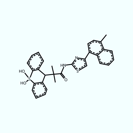 Cc1ccc(-c2csc(NC(=O)C(C)(C)C3c4ccccc4S(O)(O)c4ccccc43)n2)c2ccccc12